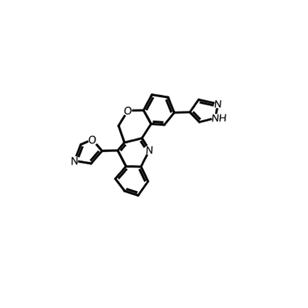 c1ccc2c(-c3cnco3)c3c(nc2c1)-c1cc(-c2cn[nH]c2)ccc1OC3